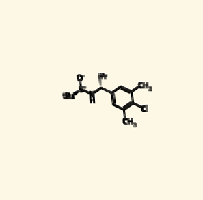 Cc1cc([C@H](N[S@+]([O-])C(C)(C)C)C(C)C)cc(C)c1Cl